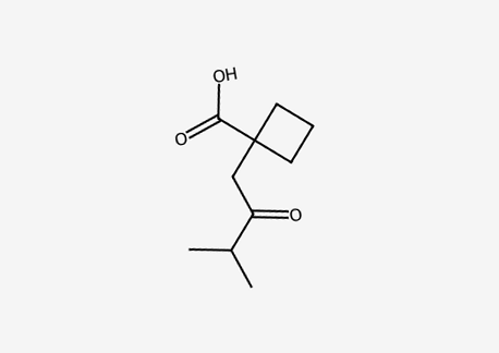 CC(C)C(=O)CC1(C(=O)O)CCC1